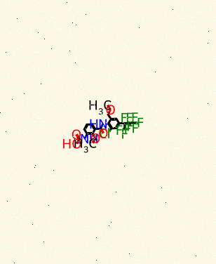 COCc1cc(C(F)(C(F)(F)F)C(F)(F)C(F)(F)F)cc(Cl)c1NC(=O)c1cccc(NC(=O)O)c1OC